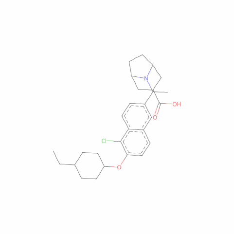 CCC1CCC(Oc2ccc3cc(C(C)N4C5CCC4CC(C(=O)O)C5)ccc3c2Cl)CC1